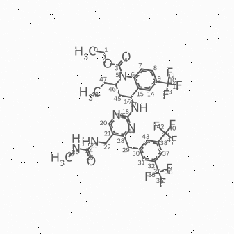 CCOC(=O)N1c2ccc(C(F)(F)F)cc2[C@@H](Nc2ncc(CNC(=O)NC)c(Cc3cc(C(F)(F)F)cc(C(F)(F)F)c3)n2)C[C@H]1CC